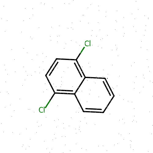 Clc1ccc(Cl)c2ccc[c]c12